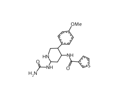 COc1ccc(C2CNC(NC(N)=O)CC2NC(=O)c2ccsc2)cc1